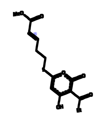 CCC(=O)c1c(O)cc(SCC/C=C/C(=O)OC)oc1=O